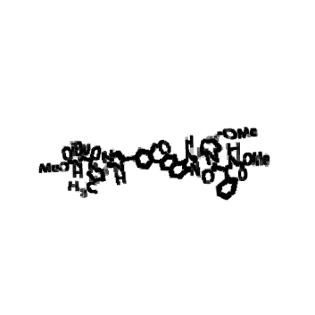 CC[C@H](C)[C@H](NC(=O)OC)C(=O)N1C[C@@H](C)C[C@H]1c1ncc(-c2ccc3c(c2)COc2cc4c(ccc5nc([C@@H]6C[C@H](COC)CN6C(=O)C(NC(=O)OC)c6ccccc6)[nH]c54)cc2-3)[nH]1